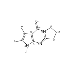 Cc1c(C)n(C)c2nc3n(c(=S)c12)CCC3